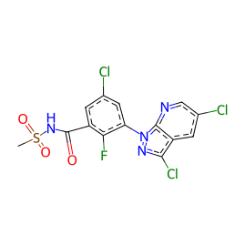 CS(=O)(=O)NC(=O)c1cc(Cl)cc(-n2nc(Cl)c3cc(Cl)cnc32)c1F